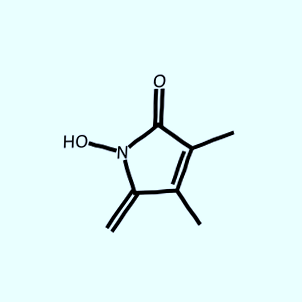 C=C1C(C)=C(C)C(=O)N1O